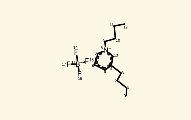 CCCCc1ccc[n+](CCCC)c1.F[B-](F)(F)F